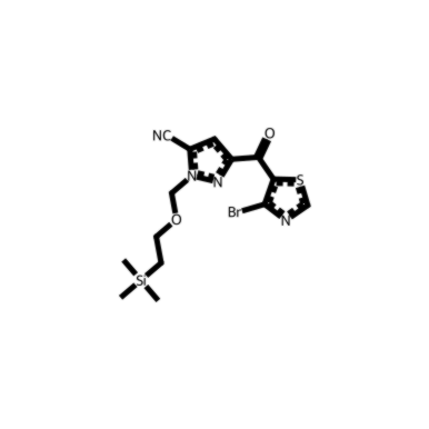 C[Si](C)(C)CCOCn1nc(C(=O)c2scnc2Br)cc1C#N